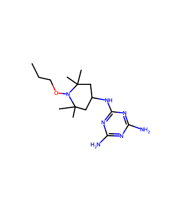 CCCON1C(C)(C)CC(Nc2nc(N)nc(N)n2)CC1(C)C